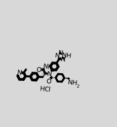 Cc1ncccc1-c1ccc(C[C@@H](C(N)=O)N(c2ccc(-c3nn[nH]n3)cc2)C(=O)[C@H]2CC[C@H](CN)CC2)cc1.Cl